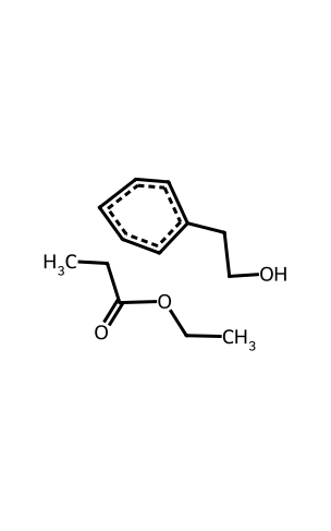 CCOC(=O)CC.OCCc1ccccc1